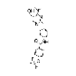 CN(C)c1nc(Cc2ccc(NC(=O)c3ccc(OC(F)(F)F)cc3)cc2)ncc1CO